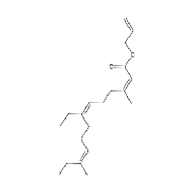 C=CCOC(=O)C=C(C)CCC=C(CC)CCC=C(C)CC